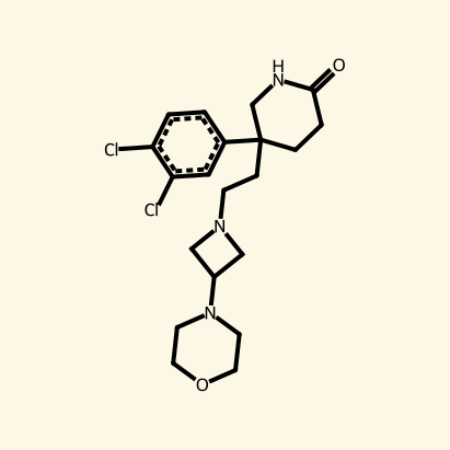 O=C1CCC(CCN2CC(N3CCOCC3)C2)(c2ccc(Cl)c(Cl)c2)CN1